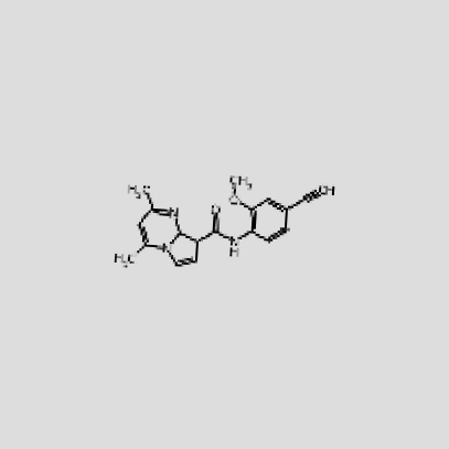 C#Cc1ccc(NC(=O)C2C=CN3C(C)=CC(C)=NC23)c(OC)c1